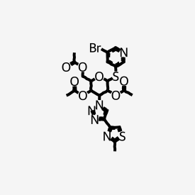 CC(=O)OCC1OC(Sc2cncc(Br)c2)C(OC(C)=O)C(n2cc(-c3csc(C)n3)nn2)C1OC(C)=O